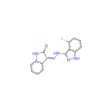 O=C1Nc2ccccc2C1=CNc1n[nH]c2cccc(F)c12